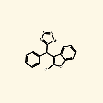 Brc1oc2ccccc2c1C(c1ccccc1)c1nnn[nH]1